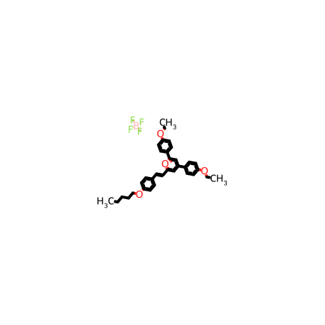 CCCCCOc1ccc(C=Cc2cc(-c3ccc(OCC)cc3)cc(-c3ccc(OCC)cc3)[o+]2)cc1.F[B-](F)(F)F